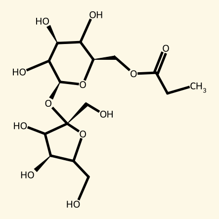 CCC(=O)OC[C@H]1O[C@@H](O[C@]2(CO)OC(CO)[C@@H](O)C2O)C(O)[C@@H](O)C1O